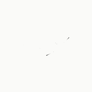 COC(=O)C1=CC[C@@H]2CC[C@H]1N2